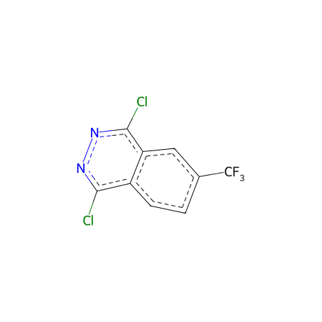 FC(F)(F)c1ccc2c(Cl)nnc(Cl)c2c1